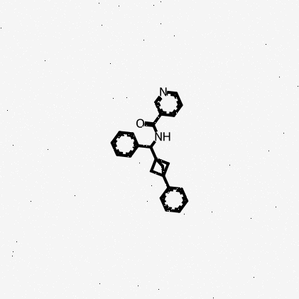 O=C(NC(c1ccccc1)C12CC(c3ccccc3)(C1)C2)c1cccnc1